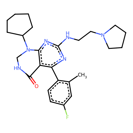 Cc1cc(F)ccc1-c1nc(NCCN2CCCC2)nc2c1C(=O)NCN2C1CCCCC1